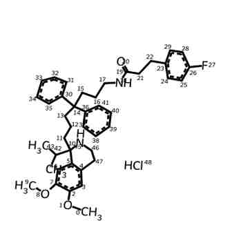 COc1cc2c(cc1OC)C(CCCC(CCCNC(=O)CCc1ccc(F)cc1)(c1ccccc1)c1ccccc1)(C(C)C)NCC2.Cl